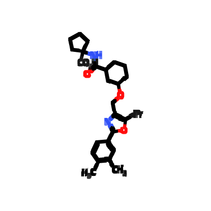 Cc1ccc(-c2nc(COC3CCCC(C(=O)NC4(C(=O)O)CCCC4)C3)c(C(C)C)o2)cc1C